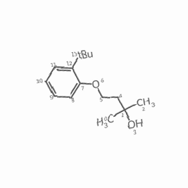 CC(C)(O)CCOc1ccccc1C(C)(C)C